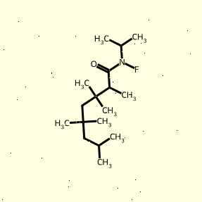 CC(C)CC(C)(C)CC(C)(C)C(C)C(=O)N(F)C(C)C